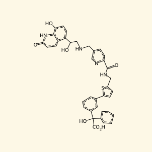 O=C(NCc1ccc(-c2cccc(C(O)(C(=O)O)c3ccccc3)c2)s1)c1ccc(CNCC(O)c2ccc(O)c3[nH]c(=O)ccc23)cn1